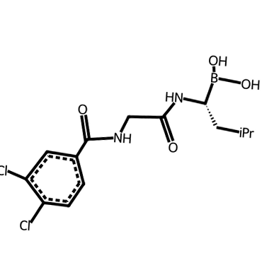 CC(C)C[C@H](NC(=O)CNC(=O)c1ccc(Cl)c(Cl)c1)B(O)O